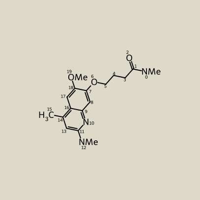 CNC(=O)CCCOc1cc2nc(NC)cc(C)c2cc1OC